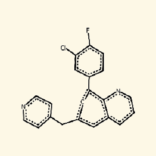 Fc1ccc(-c2cc(Cc3ccncc3)cc3cccnc23)cc1Cl